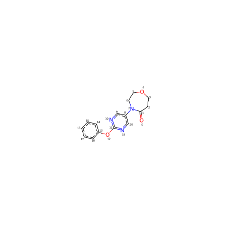 O=C1CCOCCN1c1cnc(Oc2ccccc2)nc1